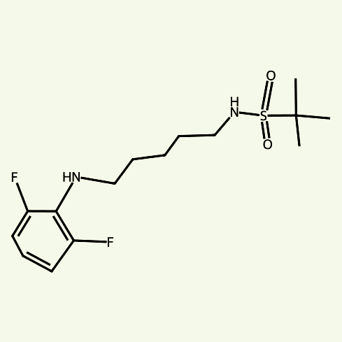 CC(C)(C)S(=O)(=O)NCCCCCNc1c(F)cccc1F